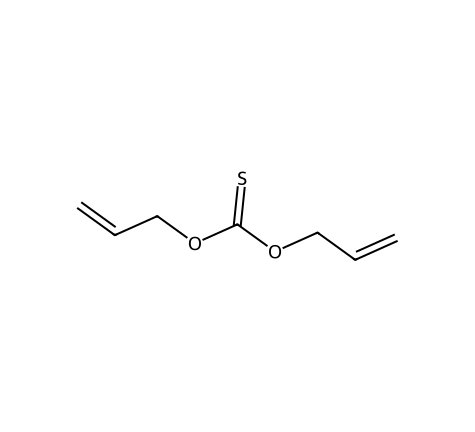 C=CCOC(=S)OCC=C